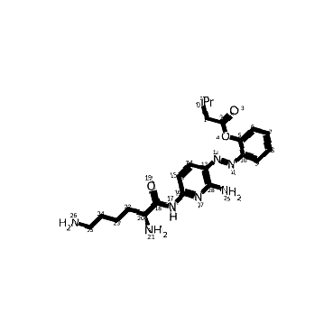 CC(C)CC(=O)Oc1ccccc1/N=N/c1ccc(NC(=O)[C@@H](N)CCCCN)nc1N